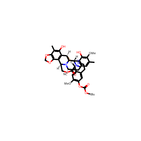 COc1cc2c(cc1OC(=O)OC(C)(C)C)CCN[C@]21CS[C@@H]2c3c(O)c(C)c4c(c3[C@H](COC1=O)N1C2[C@@H]2c3c(cc(C)c(OC)c3O)CC([C@@H]1C#N)N2C)OCO4